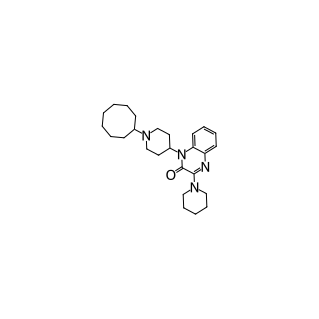 O=c1c(N2CCCCC2)nc2ccccc2n1C1CCN(C2CCCCCCC2)CC1